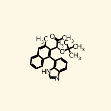 CC(=O)[C@@H](OC(C)(C)C)c1c(C)cc2ccccc2c1-c1cccc2nc[nH]c12